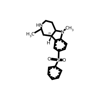 CC1C[C@H]2c3cc(S(=O)(=O)c4ccccc4)ccc3N(C)C2CCN1